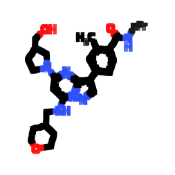 CCCNC(=O)c1ccc(-c2cnn3c(NCC4CCOCC4)cc(N4CCC(CO)C4)nc23)cc1C